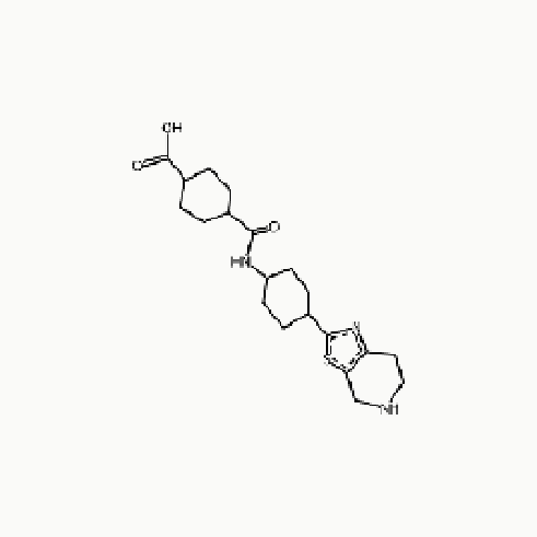 O=C(O)C1CCC(C(=O)NC2CCC(c3nc4c(s3)CNCC4)CC2)CC1